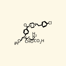 CC(C)OCCN(c1ccc(C(=O)N2CCN(CCc3ccc(Cl)cc3)CC2)cc1)C(C=O)SCC(N)C(=O)O